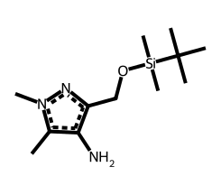 Cc1c(N)c(CO[Si](C)(C)C(C)(C)C)nn1C